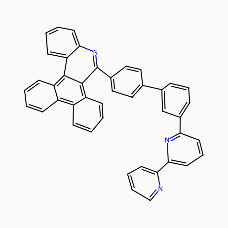 c1ccc(-c2cccc(-c3cccc(-c4ccc(-c5nc6ccccc6c6c7ccccc7c7ccccc7c56)cc4)c3)n2)nc1